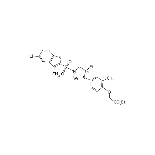 CCCN(C[C@@H](CC)Sc1ccc(OCC(=O)OCC)c(C)c1)S(=O)(=O)c1sc2ccc(Cl)cc2c1C